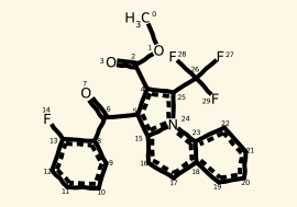 COC(=O)c1c(C(=O)c2ccccc2F)c2ccc3ccccc3n2c1C(F)(F)F